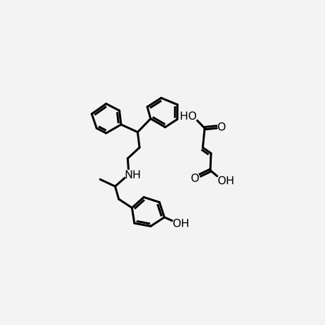 CC(Cc1ccc(O)cc1)NCCC(c1ccccc1)c1ccccc1.O=C(O)C=CC(=O)O